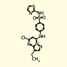 CCc1cnn2c(Nc3ccc(S(=O)(=O)Nc4nccs4)cc3)cc(Cl)nc12